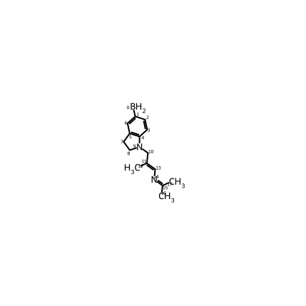 Bc1ccc2c(c1)CCN2C/C(C)=C/N=C(C)C